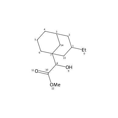 CCC1CC2CCCC(C(O)C(=O)OC)(C1)C2